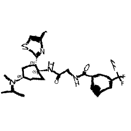 Cc1csc([C@H]2C[C@H](N(C)C(C)C)CC[C@@H]2NC(=O)CNC(=O)c2cccc(C(F)(F)F)c2)n1